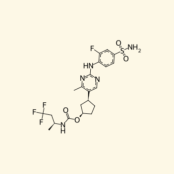 Cc1nc(Nc2ccc(S(N)(=O)=O)cc2F)ncc1[C@H]1CC[C@@H](OC(=O)N[C@@H](C)CC(F)(F)F)C1